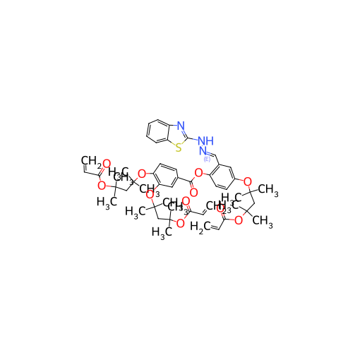 C=CC(=O)OC(C)(C)CC(C)(C)Oc1ccc(OC(=O)c2ccc(OC(C)(C)CC(C)(C)OC(=O)C=C)c(OC(C)(C)CC(C)(C)OC(=O)C=C)c2)c(/C=N/Nc2nc3ccccc3s2)c1